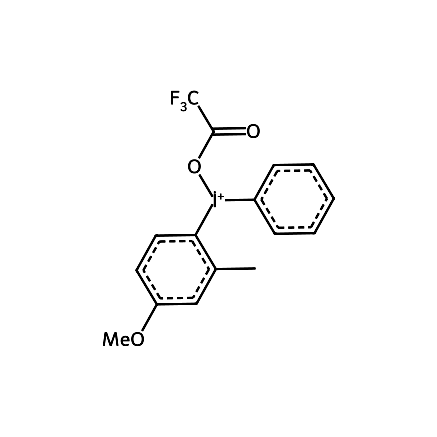 COc1ccc([I+](OC(=O)C(F)(F)F)c2ccccc2)c(C)c1